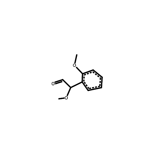 COc1ccccc1C(C=O)OC